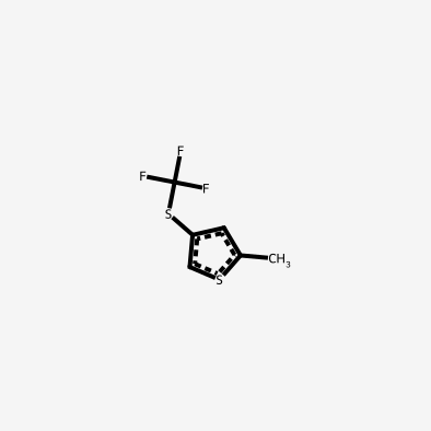 Cc1cc(SC(F)(F)F)cs1